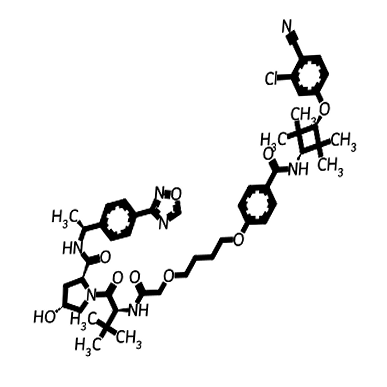 C[C@H](NC(=O)[C@@H]1C[C@@H](O)CN1C(=O)[C@@H](NC(=O)COCCCCOc1ccc(C(=O)N[C@H]2C(C)(C)[C@H](Oc3ccc(C#N)c(Cl)c3)C2(C)C)cc1)C(C)(C)C)c1ccc(-c2ncon2)cc1